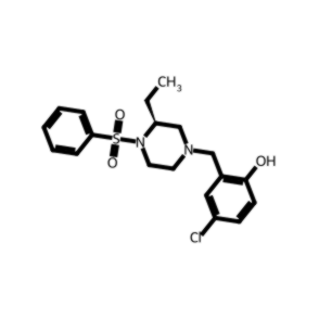 CC[C@H]1CN(Cc2cc(Cl)ccc2O)CCN1S(=O)(=O)c1ccccc1